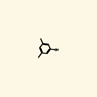 Cc1cc(O)cc(I)c1